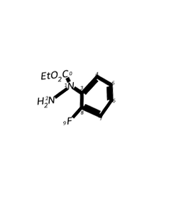 CCOC(=O)N(N)c1ccccc1F